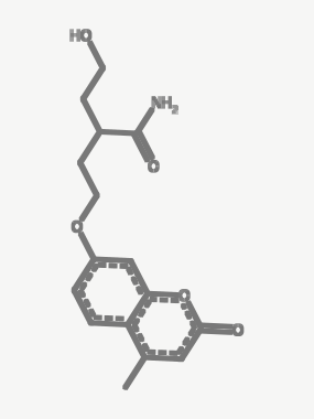 Cc1cc(=O)oc2cc(OCCC(CCO)C(N)=O)ccc12